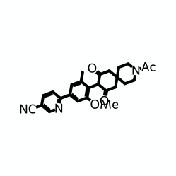 COc1cc(-c2ccc(C#N)cn2)cc(C)c1C1C(=O)CC2(CCN(C(C)=O)CC2)CC1=O